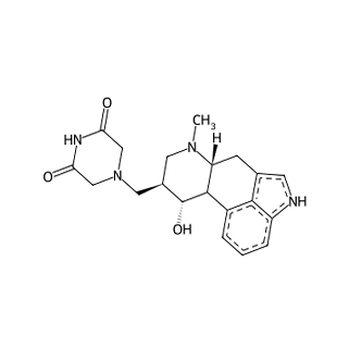 CN1C[C@H](CN2CC(=O)NC(=O)C2)[C@@H](O)C2c3cccc4[nH]cc(c34)C[C@H]21